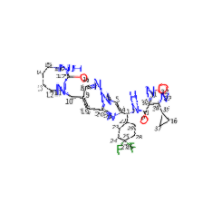 O=C(NC(c1cn2ncc(CN3CCCCNC3=O)cc2n1)C1CCC(F)(F)CC1)c1nonc1C1CC1